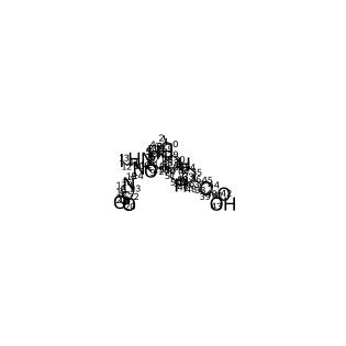 C=C(C)[C@@H]1CC[C@]2(NC(=O)N(CCI)CCN3CCS(=O)(=O)CC3)CC[C@]3(C)[C@H](CC[C@@H]4[C@@]5(C)CC=C(c6ccc(C(=O)O)cc6)C(C)(C)[C@@H]5CC[C@]43C)[C@@H]12